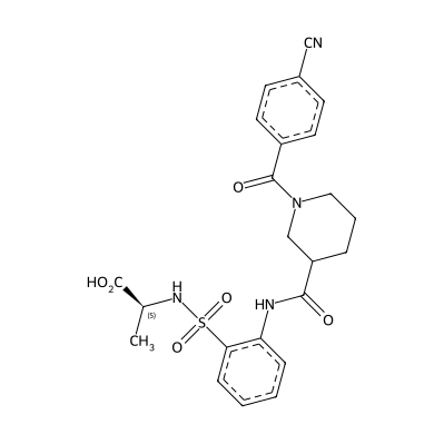 C[C@H](NS(=O)(=O)c1ccccc1NC(=O)C1CCCN(C(=O)c2ccc(C#N)cc2)C1)C(=O)O